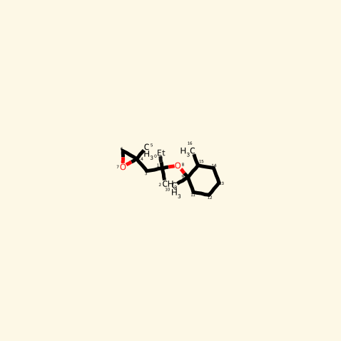 CCC(C)(CC1(C)CO1)OC1(C)CCCCC1C